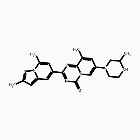 Cc1cc2cc(-c3nc(=O)n4cc(N5CCNC(C)C5)cc(C)c4n3)cc(C)n2n1